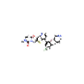 Cc1cc(Cl)cc(-c2ccnc3cc(Cn4c(=O)ccn(C)c4=O)sc23)c1O[C@H]1CCCNC1